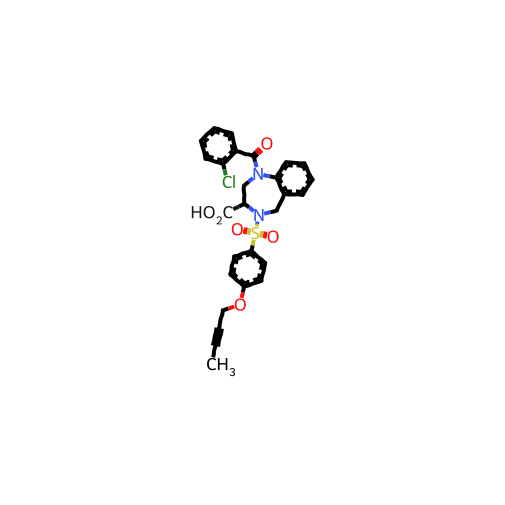 CC#CCOc1ccc(S(=O)(=O)N2Cc3ccccc3N(C(=O)c3ccccc3Cl)CC2C(=O)O)cc1